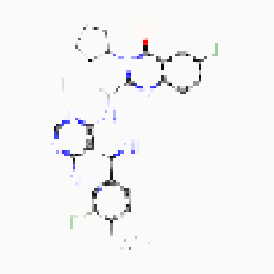 COc1ccc(C(=N)c2c(N)ncnc2NC(C)c2nc3ccc(F)cc3c(=O)n2C2CCCC2)cc1F